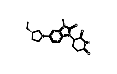 CC[C@H]1CCN(c2ccc3c(c2)n(C)c(=O)n3C2CCC(=O)NC2=O)C1